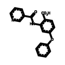 O=C(Nc1cc(Oc2ccccc2)ccc1C(=O)O)c1cccnc1